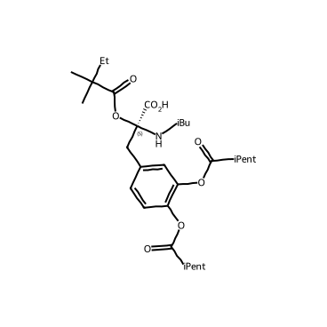 CCCC(C)C(=O)Oc1ccc(C[C@](NC(C)CC)(OC(=O)C(C)(C)CC)C(=O)O)cc1OC(=O)C(C)CCC